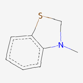 CN1CSc2ccccc21